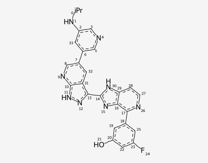 CC(C)Nc1cncc(-c2cnc3[nH]nc(-c4nc5c(-c6cc(O)cc(F)c6)nccc5[nH]4)c3c2)c1